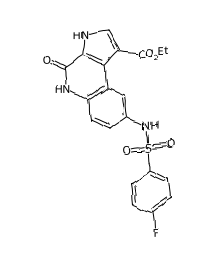 CCOC(=O)c1c[nH]c2c(=O)[nH]c3ccc(NS(=O)(=O)c4ccc(F)cc4)cc3c12